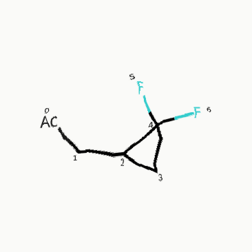 CC(=O)CC1CC1(F)F